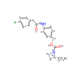 O=C(Cc1ccc(F)cc1)Nc1ccc(COC(=O)N2CC[C@H]2C(=O)O)cc1